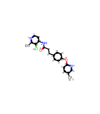 CCc1nccc(NC(=O)CCc2ccc(Oc3ccc(C(F)(F)F)cn3)cc2)c1Cl